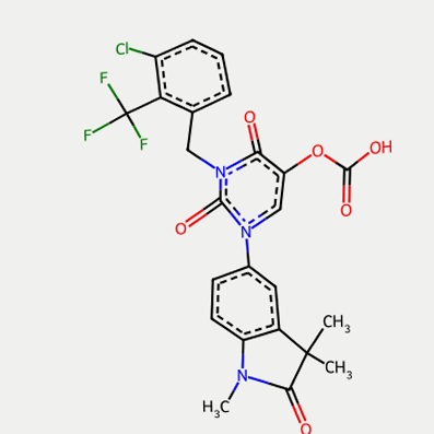 CN1C(=O)C(C)(C)c2cc(-n3cc(OC(=O)O)c(=O)n(Cc4cccc(Cl)c4C(F)(F)F)c3=O)ccc21